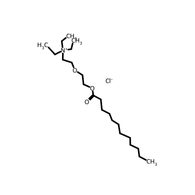 CCCCCCCCCCCC(=O)OCCOCC[N+](CC)(CC)CC.[Cl-]